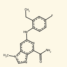 CCc1cc(F)ccc1Nc1cc2c(ncn2C)c(C(N)=O)n1